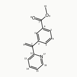 C=C(c1cccc(C(=O)OC)c1)c1ccccn1